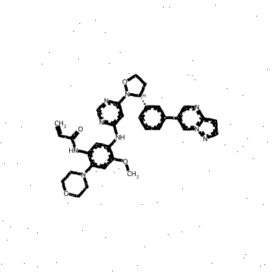 C=CC(=O)Nc1cc(Nc2cc(N3OCC[C@@H]3c3cccc(-c4cnc5ccnn5c4)c3)ncn2)c(OC)cc1N1CCOCC1